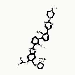 Cc1c(-c2cnc(N3CCN(C)CC3)nc2)cccc1-c1cccc(-c2nc3cc(CN4CCC[C@H]4C(=O)O)c(OC(F)F)cc3o2)c1C